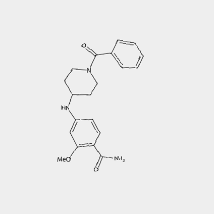 COc1cc(NC2CCN(C(=O)c3ccccc3)CC2)ccc1C(N)=O